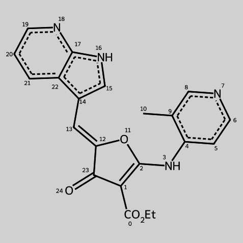 CCOC(=O)C1=C(Nc2ccncc2C)O/C(=C\c2c[nH]c3ncccc23)C1=O